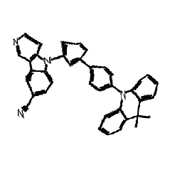 CC1(C)c2ccccc2N(c2ccc(-c3cccc(-n4c5ccncc5c5cc(C#N)ccc54)c3)cc2)c2ccccc21